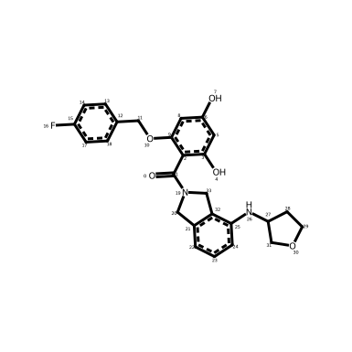 O=C(c1c(O)cc(O)cc1OCc1ccc(F)cc1)N1Cc2cccc(NC3CCOC3)c2C1